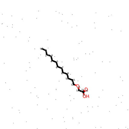 CCCCCCCCCCCCCOCC(=O)O